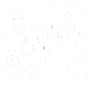 CCOc1ncccc1-c1ccc(N2CCN(C(=O)C3CNc4c3cccc4C(F)(F)F)C[C@H]2CC)c(C(=O)N[C@@H]2CCNC2)n1